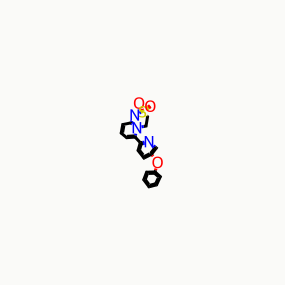 O=S1(=O)CCN2C(c3ccc(Oc4ccccc4)cn3)=CC=CC2=N1